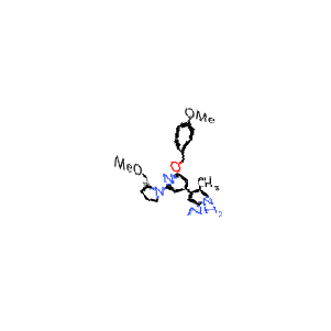 COC[C@H]1CCCN1c1cc(-c2cc(N)ncc2C)cc(OCc2ccc(OC)cc2)n1